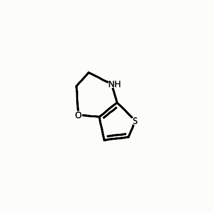 c1cc2c(s1)NCCO2